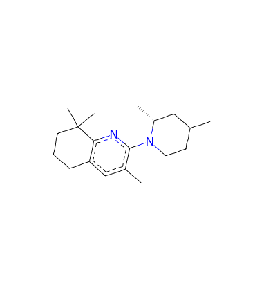 Cc1cc2c(nc1N1CCC(C)C[C@H]1C)C(C)(C)CCC2